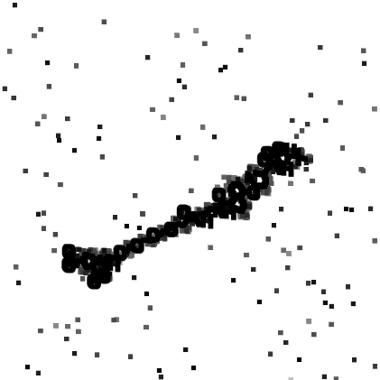 CC(C)(C)CC[C@H](NC(=O)c1ccc(Oc2cccc3c(C(=O)NCCCNC(=O)CCOCCOCCOCCOCCNc4ccc([N+](=O)[O-])cc4[N+](=O)[O-])cccc23)nc1)C(=O)O